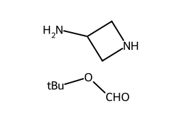 CC(C)(C)OC=O.NC1CNC1